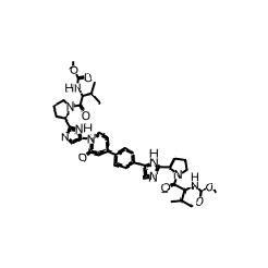 COC(=O)NC(C(=O)N1CCCC1c1ncc(-c2ccc(-c3ccn(-c4cnc(C5CCCN5C(=O)C(NC(=O)OC)C(C)C)[nH]4)c(=O)c3)cc2)[nH]1)C(C)C